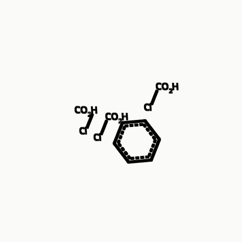 O=C(O)Cl.O=C(O)Cl.O=C(O)Cl.c1ccccc1